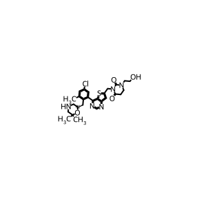 Cc1cc(Cl)cc(-c2ncnc3cc(CN4C(=O)CCN(CCO)C4=O)sc23)c1C[C@@H]1CNCC(C)(C)O1